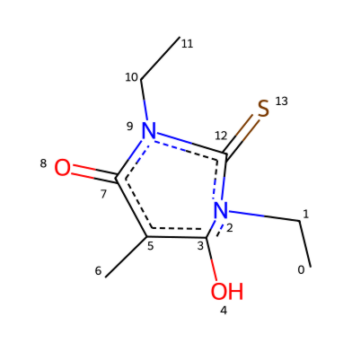 CCn1c(O)c(C)c(=O)n(CC)c1=S